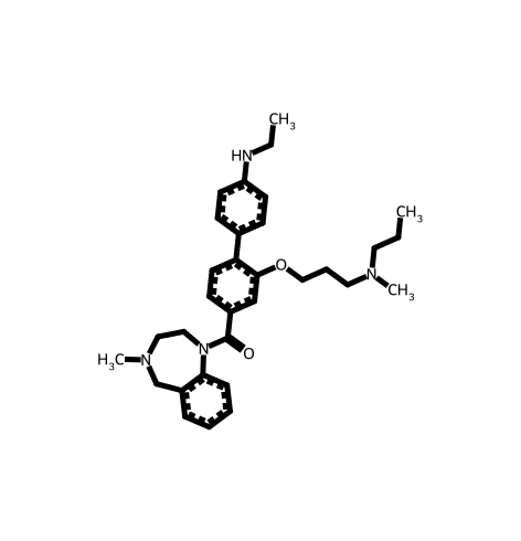 CCCN(C)CCCOc1cc(C(=O)N2CCN(C)Cc3ccccc32)ccc1-c1ccc(NCC)cc1